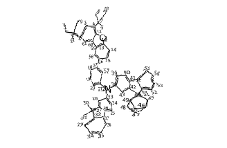 CC(C)(C)c1cc(C(C)(C)C)c2oc3ccc(-c4cccc(N(c5ccc6c(c5)C(C)(C)c5ccccc5-6)c5ccc6c(c5)C5(CC7CCC5C7)c5ccccc5-6)c4)cc3c2c1